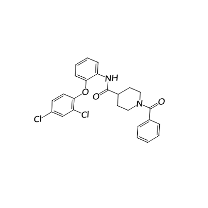 O=C(Nc1ccccc1Oc1ccc(Cl)cc1Cl)C1CCN(C(=O)c2ccccc2)CC1